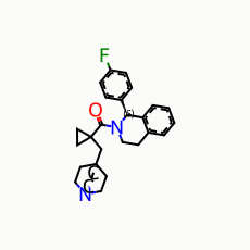 O=C(N1CCc2ccccc2[C@@H]1c1ccc(F)cc1)C1(CC23CCN(CC2)CC3)CC1